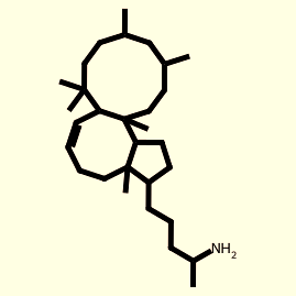 CC(N)CCCC1CCC2C1(C)CCC=CC1C(C)(C)CCC(C)CC(C)CCC12C